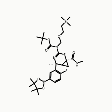 CNC(=O)[C@]12CC1[C@@](C)(c1cc(B3OC(C)(C)C(C)(C)O3)ccc1F)N=C(N(COCC[Si](C)(C)C)C(=O)OC(C)(C)C)S2